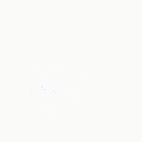 CCCCOCn1c(C(=O)c2ccc(Cc3ccc(F)cc3)o2)c(OCCCC)c(=O)n1C